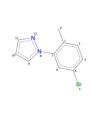 Cc1ccc(Br)cc1-n1cccn1